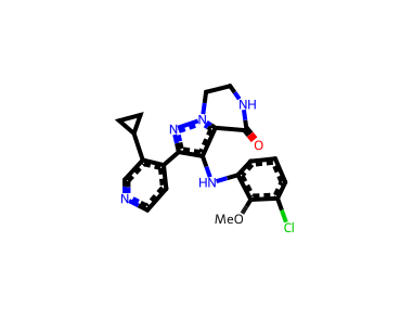 COc1c(Cl)cccc1Nc1c(-c2ccncc2C2CC2)nn2c1C(=O)NCC2